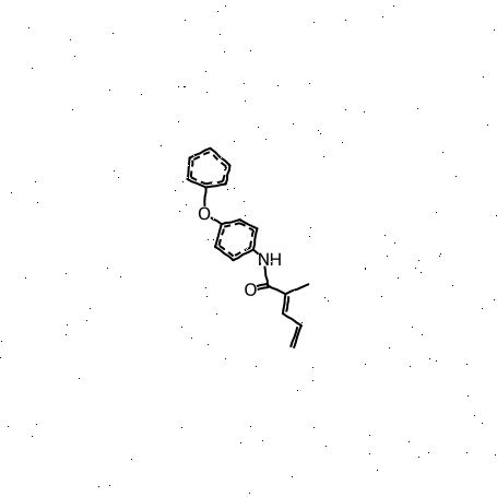 C=C/C=C(\C)C(=O)Nc1ccc(Oc2ccccc2)cc1